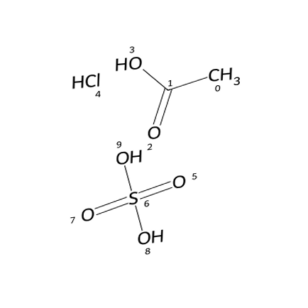 CC(=O)O.Cl.O=S(=O)(O)O